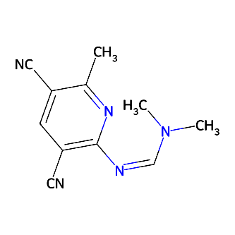 Cc1nc(/N=C\N(C)C)c(C#N)cc1C#N